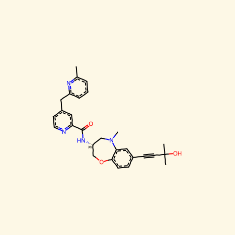 Cc1cccc(Cc2ccnc(C(=O)N[C@H]3COc4ccc(C#CC(C)(C)O)cc4N(C)C3)c2)n1